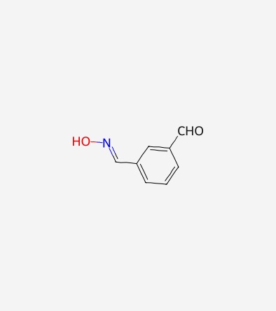 O=Cc1cccc(C=NO)c1